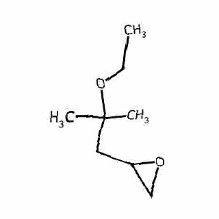 CCOC(C)(C)CC1CO1